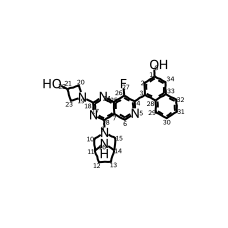 Oc1cc(-c2ncc3c(N4CC5CCC(C4)N5)nc(N4CC(O)C4)nc3c2F)c2ccccc2c1